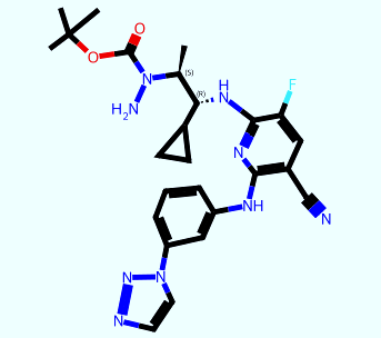 C[C@@H]([C@H](Nc1nc(Nc2cccc(-n3ccnn3)c2)c(C#N)cc1F)C1CC1)N(N)C(=O)OC(C)(C)C